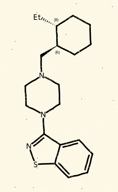 CC[C@@H]1CCCC[C@H]1CN1CCN(c2nsc3ccccc23)CC1